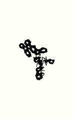 c1ccc(-c2nc(-c3cccc(-n4c5ccccc5c5cc6c(cc54)C(c4ccccc4)(c4ccccc4)c4ccccc4-6)c3)nc(-c3ccc4c(c3)sc3ccccc34)n2)cc1